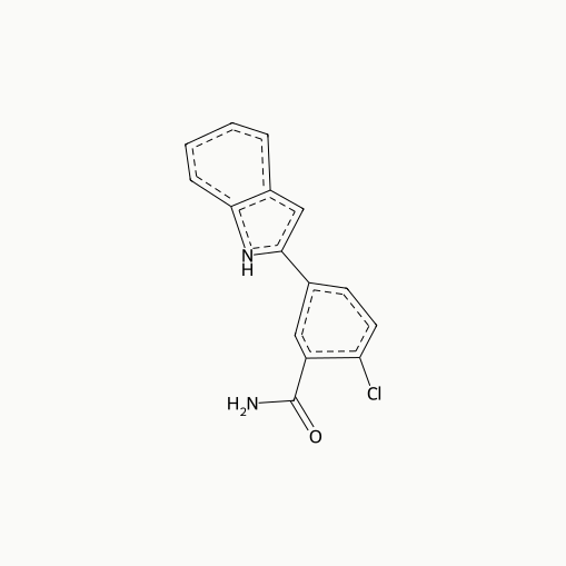 NC(=O)c1cc(-c2cc3ccccc3[nH]2)ccc1Cl